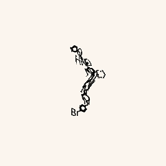 O=C(NCCOc1ccccc1)c1cnc(N2CCN(C3CCN(Cc4ccc(Br)cc4)CC3)CC2)c(Cl)c1